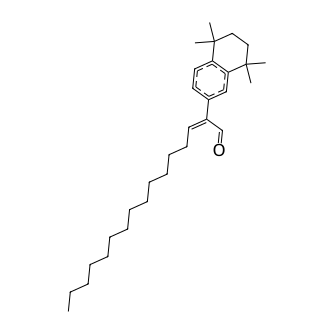 CCCCCCCCCCCCCC=C(C=O)c1ccc2c(c1)C(C)(C)CCC2(C)C